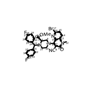 COC(=O)C1CN(c2c(C#N)c(=O)n(C)c3ccc(Br)nc23)CCN1C(c1ccc(F)cc1)c1ccc(F)cc1